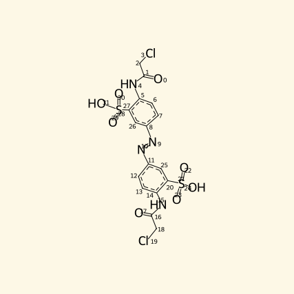 O=C(CCl)Nc1ccc(N=Nc2ccc(NC(=O)CCl)c(S(=O)(=O)O)c2)cc1S(=O)(=O)O